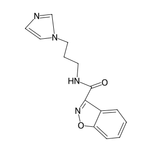 O=C(NCCCn1ccnc1)c1noc2ccccc12